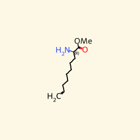 C=CCCCCCC[C@@H](N)C(=O)OC